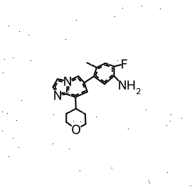 Cc1cc(F)c(N)cc1-c1cc(C2CCOCC2)c2nccn2c1